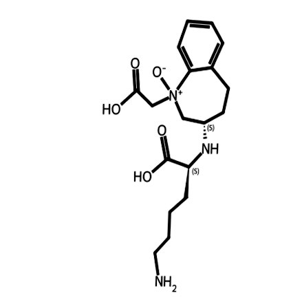 NCCCC[C@H](N[C@H]1CCc2ccccc2[N+]([O-])(CC(=O)O)C1)C(=O)O